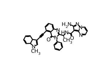 C[C@H](NC(=O)c1c(N)nn2cccnc12)c1nc2cccc(C#CC3=CN(C)C4C=CC=CC34)c2c(=O)n1-c1ccccc1